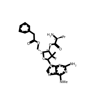 CNc1nc(N)nc2c1ncn2C1O[C@H](COC(=O)Cc2ccccc2)[C@@H](OC(=O)[C@@H](N)C(C)C)C1(C)F